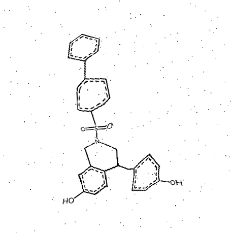 O=S(=O)(c1ccc(-c2ccccc2)cc1)N1Cc2cc(O)ccc2C(c2ccc(O)cc2)C1